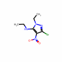 CCNc1c([N+](=O)[O-])c(Br)nn1CC